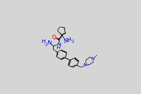 CN1CCN(Cc2ccc(-c3ccc(C[C@@H](N)NC(=O)C4(N)CCCC4)cc3)cc2)CC1